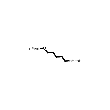 [CH2]CCCCCCCCCCCOCCCCC